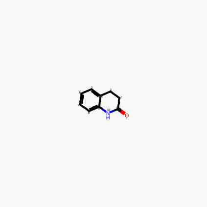 O=C1C[CH]c2ccccc2N1